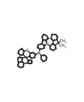 CC1(C)c2ccccc2-c2c(-n3c4ccccc4c4ccc(N(c5ccccc5)c5ccc6c(c5)Sc5ccccc5C65c6ccccc6-c6cccc7cccc5c67)cc43)cccc21